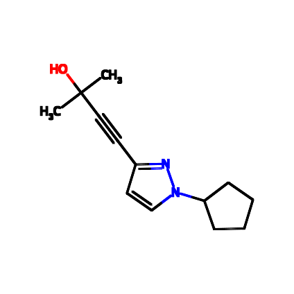 CC(C)(O)C#Cc1ccn(C2CCCC2)n1